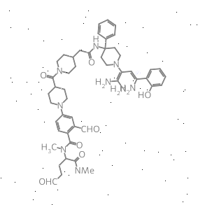 CNC(=O)C(CCC=O)N(C)C(=O)c1ccc(N2CCC(C(=O)N3CCC(CC(=O)NC4(c5ccccc5)CCN(C(/C=C(\N)c5ccccc5O)=C(N)N)CC4)CC3)CC2)cc1C=O